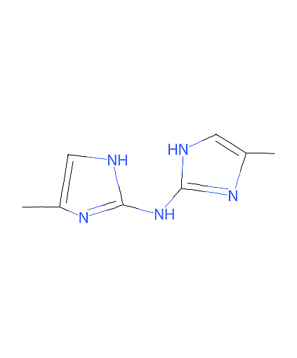 Cc1c[nH]c(Nc2nc(C)c[nH]2)n1